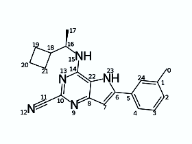 Cc1cccc(-c2cc3nc(C#N)nc(N[C@H](C)C4CCC4)c3[nH]2)c1